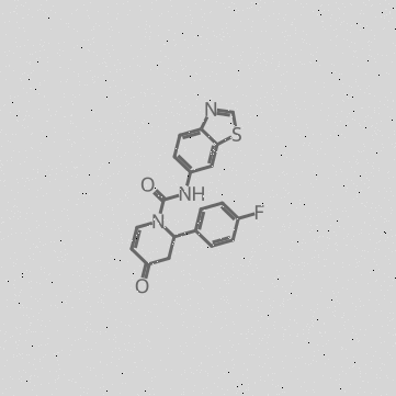 O=C1C=CN(C(=O)Nc2ccc3ncsc3c2)C(c2ccc(F)cc2)C1